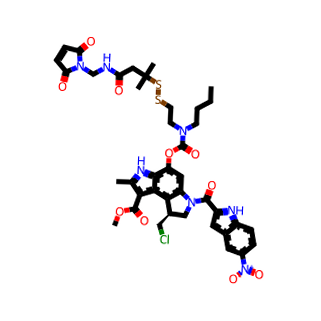 CCCCN(CCSSC(C)(C)CC(=O)NCN1C(=O)C=CC1=O)C(=O)Oc1cc2c(c3c(C(=O)OC)c(C)[nH]c13)[C@H](CCl)CN2C(=O)c1cc2cc([N+](=O)[O-])ccc2[nH]1